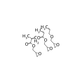 C=C(C)C(=O)OCC1CO1.C=CC(=O)OCC1CO1.C=CCOCC1CO1